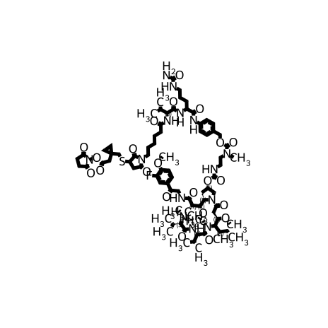 CC[C@H](C)C([C@@H](CC(=O)N1C[C@@H](OC(=O)NCCN(C)C(=O)OCc2ccc(NC(=O)C(CCCNC(N)=O)NC(=O)[C@@H](NC(=O)CCCCCN3C(=O)CC(SCC4(CC(=O)ON5C(=O)CCC5=O)CC4)C3=O)C(C)C)cc2)C[C@H]1[C@H](OC)[C@@H](C)C(=O)NCC(=O)c1ccc(OC)c(F)c1)OC)N(C)C(=O)[C@@H](NC(=O)[C@H](C(C)C)N(C)C)C(C)C